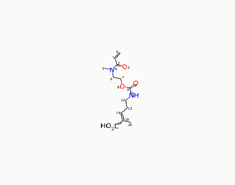 C=CC(=O)N(C)CCOC(=O)NCCC=C(C)C(=O)O